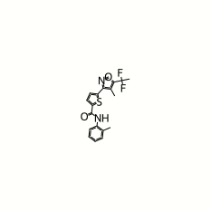 Cc1ccccc1NC(=O)c1ccc(-c2noc(C(C)(F)F)c2C)s1